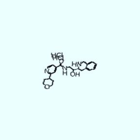 Cl.Cl.O=C(NCC(O)[C@@H]1Cc2ccccc2CN1)c1ccnc(C2CCOCC2)c1